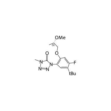 CO[C@@H](C)COc1cc(F)c(C(C)(C)C)cc1-n1nnn(C)c1=O